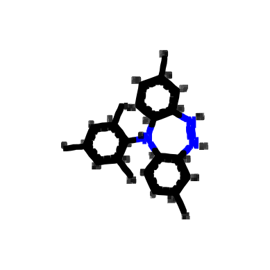 Cc1cc(C)c(N2c3ccc(C)cc3N=Nc3cc(C)ccc32)c(C)c1